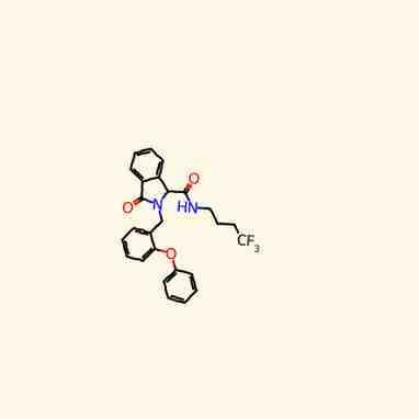 O=C(NCCCC(F)(F)F)C1c2ccccc2C(=O)N1Cc1ccccc1Oc1ccccc1